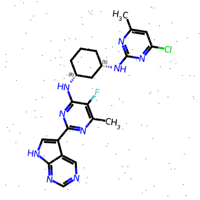 Cc1cc(Cl)nc(N[C@H]2CCC[C@@H](Nc3nc(-c4c[nH]c5ncncc45)nc(C)c3F)C2)n1